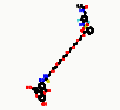 CC(=O)NCc1cc(F)c(NS(=O)(=O)C2CCCC=C2C(=O)OCCOCCOCCOCCOCCOCCOCCNC(=S)Nc2ccc3c(c2)C(=O)OC32c3ccc(O)cc3Oc3cc(O)ccc32)c(F)c1